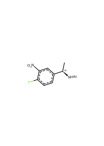 CC(=O)N[C@H](C)c1ccc(F)c([N+](=O)[O-])c1